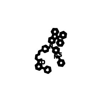 C1=CCCC(c2cccc3c(/C=C\C=C\C4C=CC(N(c5ccc6c(c5)C(c5ccccc5)(c5ccccc5)c5ccccc5-6)c5ccc6sc(-c7ccccc7)nc6c5)=CC4)coc23)=C1